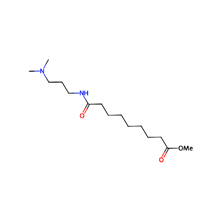 COC(=O)CCCCCCCC(=O)NCCCN(C)C